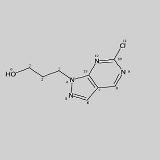 OCCCn1ncc2cnc(Cl)nc21